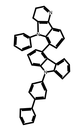 C1=Nc2c(n(-c3ccccc3)c3c(-c4cccc5c4c4ccccc4n5-c4ccc(-c5ccccc5)cc4)cccc23)CC1